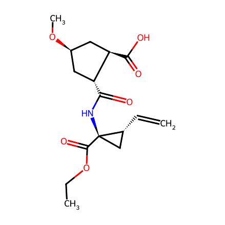 C=C[C@@H]1C[C@]1(NC(=O)[C@@H]1C[C@@H](OC)C[C@H]1C(=O)O)C(=O)OCC